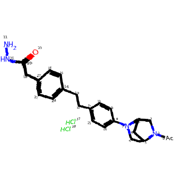 CC(=O)N1CC2CC1CN2c1ccc(CCc2ccc(CC(=O)NN)cc2)cc1.Cl.Cl